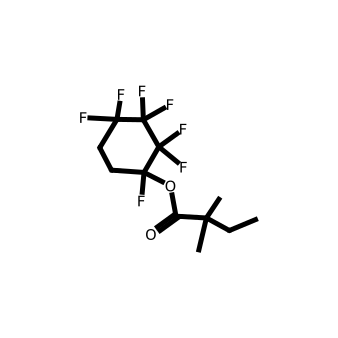 CCC(C)(C)C(=O)OC1(F)CCC(F)(F)C(F)(F)C1(F)F